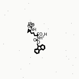 CC(C)(C)OC(=O)NC1(CCCC(NC(=O)OCC2c3ccccc3-c3ccccc32)C(=O)O)CC1